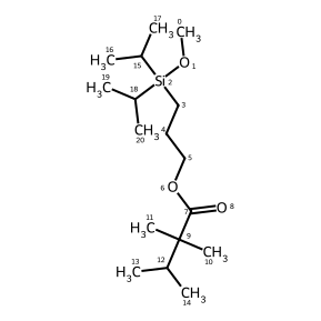 CO[Si](CCCOC(=O)C(C)(C)C(C)C)(C(C)C)C(C)C